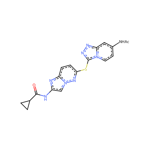 CC(=O)Nc1ccn2c(Sc3ccc4nc(NC(=O)C5CC5)cn4n3)nnc2c1